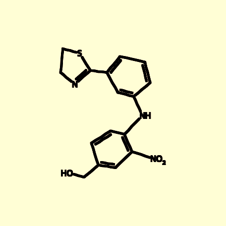 O=[N+]([O-])c1cc(CO)ccc1Nc1cccc(C2=NCCS2)c1